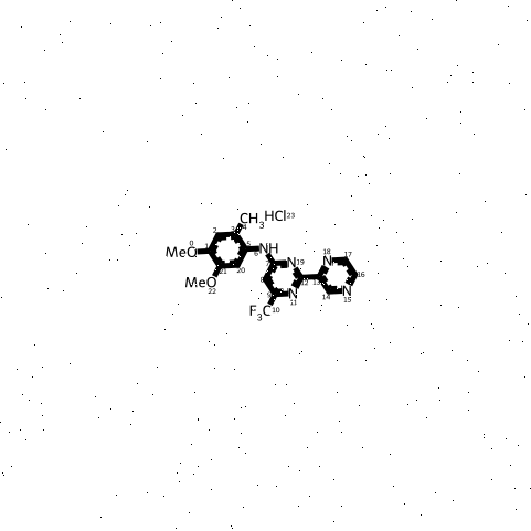 COc1cc(C)c(Nc2cc(C(F)(F)F)nc(-c3cnccn3)n2)cc1OC.Cl